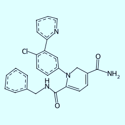 NC(=O)C1=CC=C(C(=O)NCc2ccccc2)N(c2ccc(Cl)c(-c3ccccn3)c2)C1